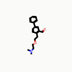 CN(C)CCOCCc1ccc(-c2ccccc2)cc1C=O